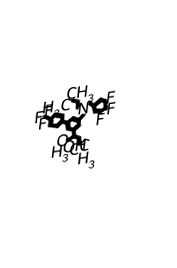 CC(C)CCN(CC1=CC(F)C(F)C(F)=C1)Cc1cc(-c2ccc(C(F)(F)F)cc2)cc(C(CC(C)C)C(=O)O)c1